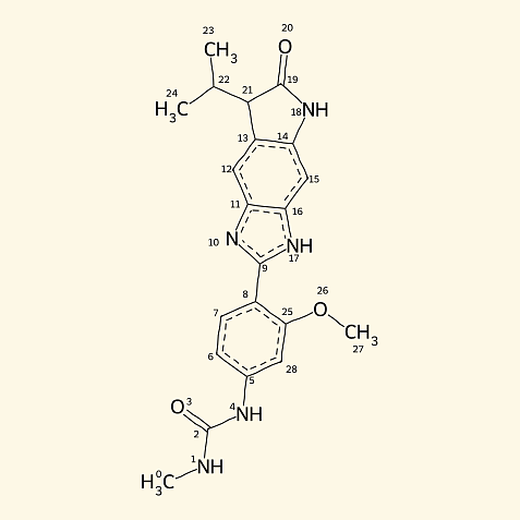 CNC(=O)Nc1ccc(-c2nc3cc4c(cc3[nH]2)NC(=O)C4C(C)C)c(OC)c1